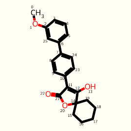 COc1cccc(-c2ccc(C3=C(O)C4(CCCCC4)OC3=O)cc2)c1